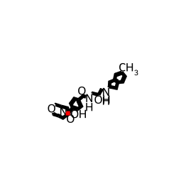 Cc1ccc2c(c1)CC(NCC(O)CNC(=O)c1ccc(C(=O)N3C4COCC3CC(O)C4)cc1)C2